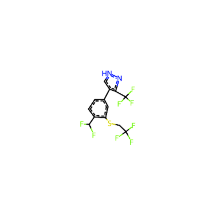 FC(F)c1ccc(-c2c[nH]nc2C(F)(F)F)cc1SCC(F)(F)F